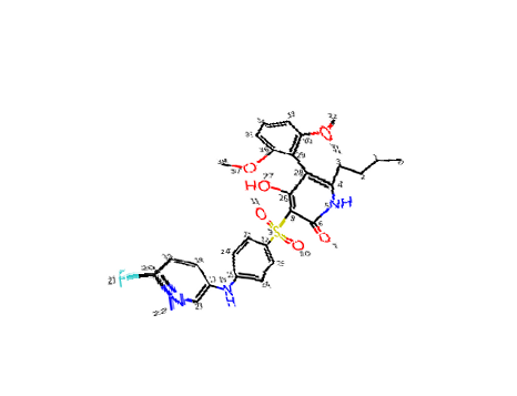 CCCCc1[nH]c(=O)c(S(=O)(=O)c2ccc(Nc3ccc(F)nc3)cc2)c(O)c1-c1c(OC)cccc1OC